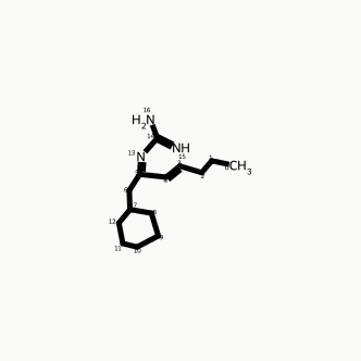 CCC/C=C/C(CC1CCCCC1)=N\C(=N)N